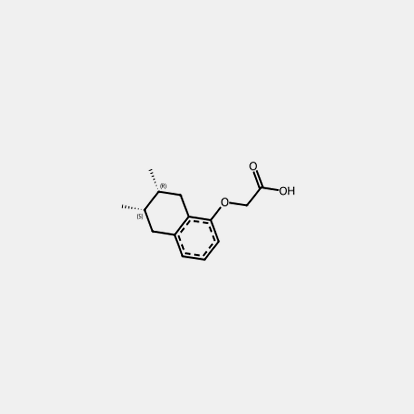 C[C@@H]1Cc2c(cccc2OCC(=O)O)C[C@@H]1C